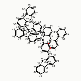 c1ccc(-c2ccccc2-c2ccccc2N(c2ccc(-c3cccc4c3sc3ccccc34)cc2)c2ccc3c(c2)C2(c4ccccc4-3)c3ccccc3-n3c4ccccc4c4cccc2c43)cc1